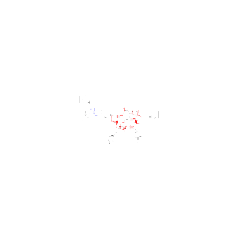 C#CCN(C)CCCCO[C@@H]1OC[C@H](OC(=O)CCC)[C@H](OC(=O)CCC)[C@H]1OC(=O)CCC